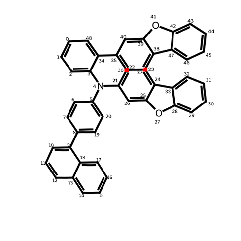 c1ccc(N(c2ccc(-c3cccc4ccccc34)cc2)c2ccc3c(c2)oc2ccccc23)c(-c2ccc3c(c2)oc2ccccc23)c1